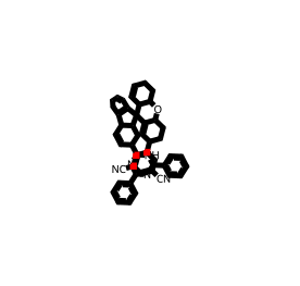 N#CC1=CC(C2C=C3C(CC2)OC2CCC=CC2C32C3=C(CCC=C3)C3C=CC(C4=NC(c5ccccc5)=NC(c5ccccc5)N4)CC32)CC(C#N)=C1